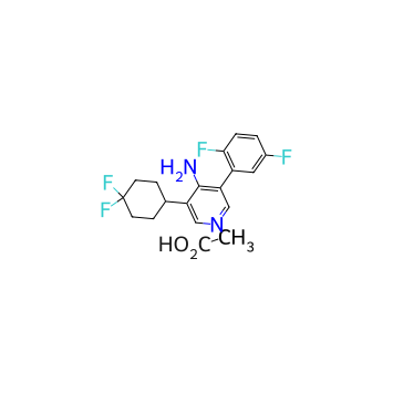 CC(=O)O.Nc1c(-c2cc(F)ccc2F)cncc1C1CCC(F)(F)CC1